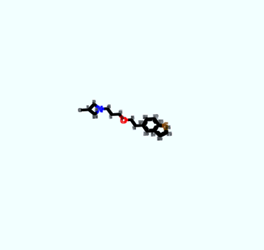 CC1CN(CCCOCCc2ccc3sccc3c2)C1